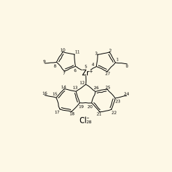 CC1=CC[C]([Zr+]([C]2=CC(C)=CC2)[CH]2c3cc(C)ccc3-c3ccc(C)cc32)=C1.[Cl-]